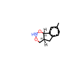 Cc1ccc2c(c1)[C@H]1ONOC[C@H]1C2